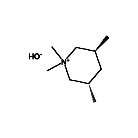 C[C@H]1C[C@H](C)C[N+](C)(C)C1.[OH-]